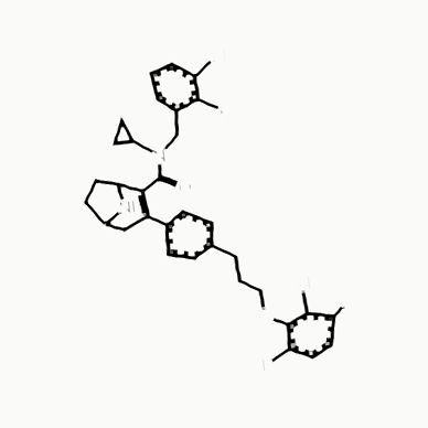 O=C(C1=C(c2ccc(CCCOc3c(F)ccc(F)c3Cl)cc2)CC2CCC1N2)N(Cc1cccc(Cl)c1Cl)C1CC1